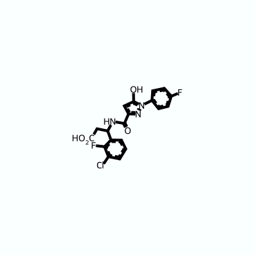 O=C(O)CC(NC(=O)c1cc(O)n(-c2ccc(F)cc2)n1)c1cccc(Cl)c1F